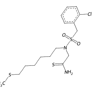 CSCCCCCCN(CC(N)=S)S(=O)(=O)Cc1ccccc1Cl